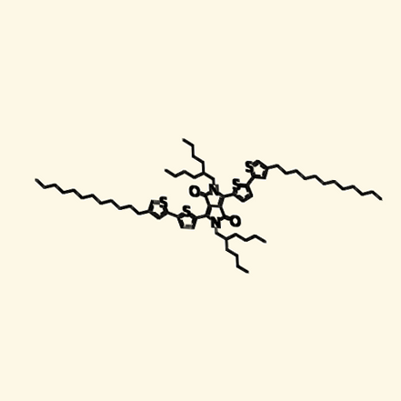 CCCCCCCCCCCCc1csc(-c2ccc(C3=C4C(=O)N(CC(CCCC)CCCC)C(c5ccc(-c6cc(CCCCCCCCCCCC)cs6)s5)=C4C(=O)N3CC(CCCC)CCCC)s2)c1